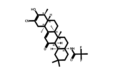 [C-]#[N+]C1=C(O)[C@@H](C)[C@@H]2CC[C@]3(C)C(=CC(=O)[C@@H]4[C@@H]5CC(C)(C)CC[C@]5(NC(=O)C(C)(F)F)CC[C@]43C)[C@@]2(C)C1